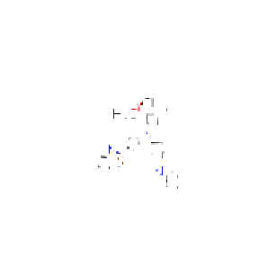 CP(C)(=O)c1cccc(-n2c3ccc(-c4nc5ccccc5s4)cc3c3cc(-c4nc5ccccc5s4)ccc32)c1